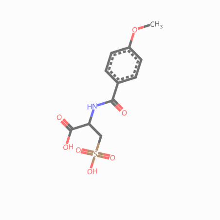 COc1ccc(C(=O)NC(CS(=O)(=O)O)C(=O)O)cc1